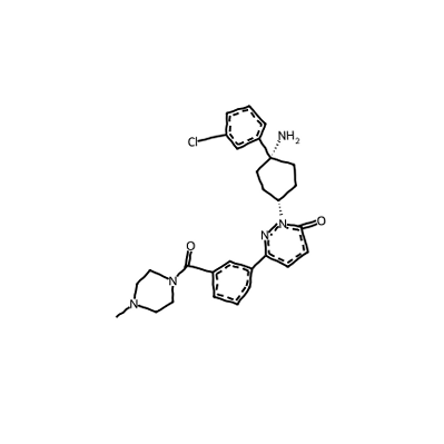 CN1CCN(C(=O)c2cccc(-c3ccc(=O)n([C@H]4CC[C@](N)(c5cccc(Cl)c5)CC4)n3)c2)CC1